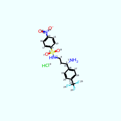 Cl.N[C@@H](CCNS(=O)(=O)c1ccc([N+](=O)[O-])cc1)c1ccc(C(F)(F)F)cc1